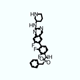 O=S(=O)(Cc1ccccc1)Nc1ccc(-c2cc3cnc(NC4CCCNC4)nc3cc2F)c(F)c1F